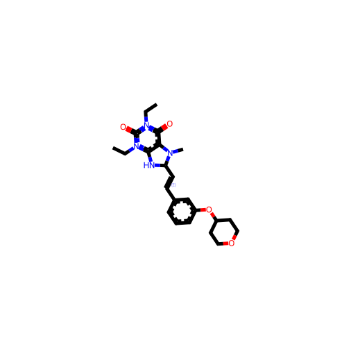 CCn1c2c(c(=O)n(CC)c1=O)N(C)C(/C=C/c1cccc(OC3CCOCC3)c1)N2